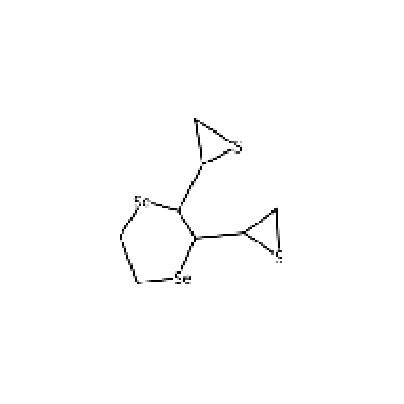 C1C[Se]C(C2CS2)C(C2CS2)[Se]1